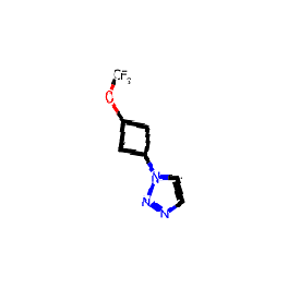 FC(F)(F)OC1CC(n2[c]cnn2)C1